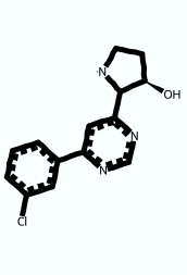 O[C@@H]1CC[N]C1c1cc(-c2cccc(Cl)c2)ncn1